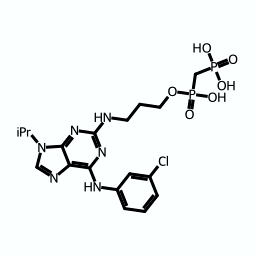 CC(C)n1cnc2c(Nc3cccc(Cl)c3)nc(NCCCOP(=O)(O)CP(=O)(O)O)nc21